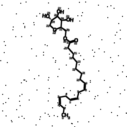 CC/C=C\C/C=C\C/C=C\CCCCCCCC(=O)OC[C@H]1OC[C@H](O)[C@@H](O)[C@H]1O